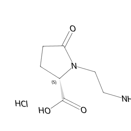 Cl.NCCN1C(=O)CC[C@H]1C(=O)O